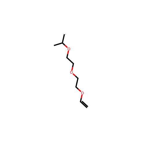 [CH2]C(C)OCCOCCOC=C